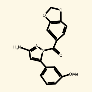 COc1cccc(-c2cc(N)nn2C(=O)c2ccc3c(c2)OCO3)c1